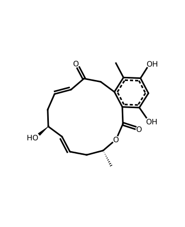 Cc1c(O)cc(O)c2c1CC(=O)/C=C/C[C@H](O)/C=C/C[C@@H](C)OC2=O